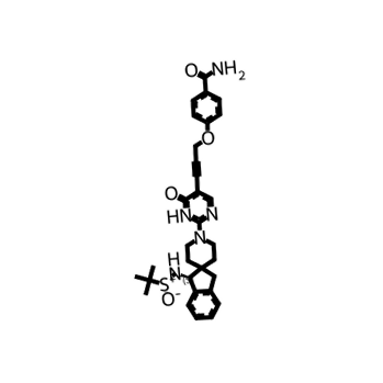 CC(C)(C)[S+]([O-])N[C@@H]1c2ccccc2CC12CCN(c1ncc(C#CCOc3ccc(C(N)=O)cc3)c(=O)[nH]1)CC2